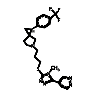 Cn1c(SCCCN2CCC3(C[C@H]3c3ccc(C(F)(F)F)cc3)C2)nnc1-c1ccnnc1